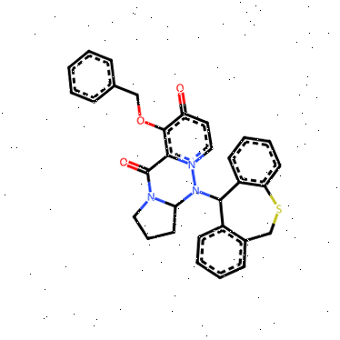 O=C1c2c(OCc3ccccc3)c(=O)ccn2N(C2c3ccccc3CSc3ccccc32)C2CCCN12